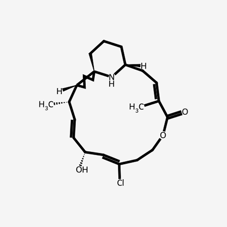 C/C1=C\C[C@H]2CCC[C@]3(CCC[C@@H]3[C@@H](C)/C=C/[C@@H](O)/C=C(\Cl)CCOC1=O)N2